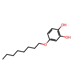 CCCCCCCCOc1ccc(O)c(O)c1